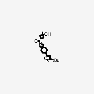 CC(C)(C)c1cc(C2CCC3(CC2)CN(C(=O)[C@H]2C[C@@](C)(O)C2)C3)on1